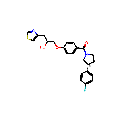 O=C(c1ccc(OCC(O)Cc2cscn2)cc1)N1CC[C@H](c2ccc(F)cc2)C1